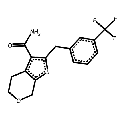 NC(=O)c1c(Cc2cccc(C(F)(F)F)c2)sc2c1CCOC2